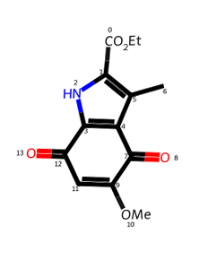 CCOC(=O)c1[nH]c2c(c1C)C(=O)C(OC)=CC2=O